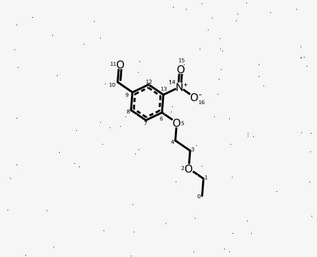 CCOCCOc1ccc(C=O)cc1[N+](=O)[O-]